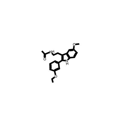 CCOc1cccc(-c2[nH]c3ccc(OC)cc3c2CCNC(C)=O)c1